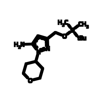 CC(C)(C)[Si](C)(C)OCc1cc(N)n(C2CCOCC2)n1